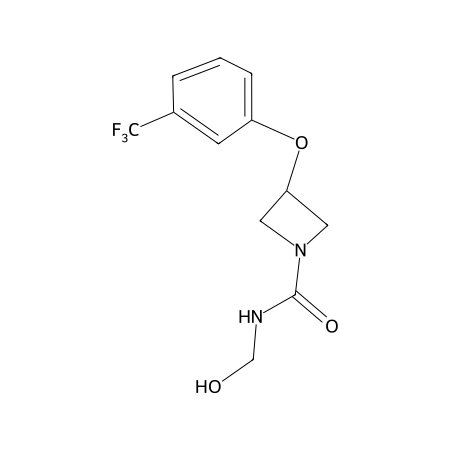 O=C(NCO)N1CC(Oc2cccc(C(F)(F)F)c2)C1